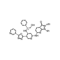 CCCn1c(=O)c2ccc(Nc3cc(N[C@H](CO)c4ccccc4)c(-c4nnc(-c5cccnc5)o4)cn3)nc2n1C(C)C